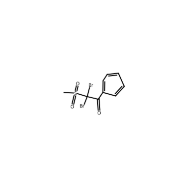 CS(=O)(=O)C(Br)(Br)C(=O)c1ccccc1